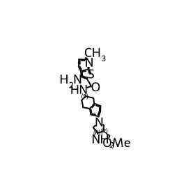 COC[C@@H]1CN(c2ccc3c(c2)CC[C@H](NC(=O)c2sc4nc(C)ccc4c2N)C3)C[C@@H]1N